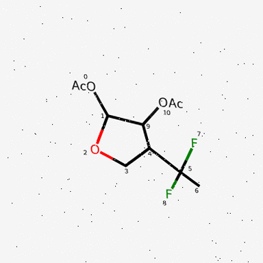 CC(=O)OC1OCC(C(C)(F)F)C1OC(C)=O